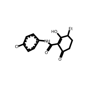 CCC1CCC(=O)C(C(=O)Nc2ccc(Cl)cc2)=C1O